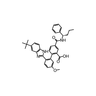 CCC[C@@H](NC(=O)c1ccc(-c2cc(OC)ccc2-c2nc3cc(C(C)(C)C)ccc3[nH]2)c(C(=O)O)c1)c1ccccc1